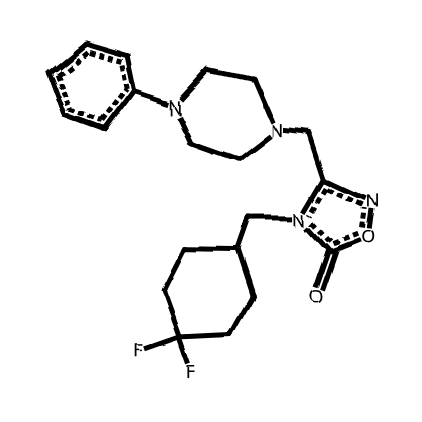 O=c1onc(CN2CCN(c3ccccc3)CC2)n1CC1CCC(F)(F)CC1